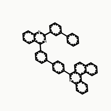 c1ccc(-c2cccc(-c3nc(-c4cccc(-c5ccc(-c6nc7ccccc7c7c6ccc6ccccc67)cc5)c4)c4ccccc4n3)c2)cc1